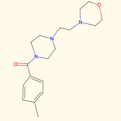 Cc1ccc(C(=O)N2CCN(CCN3CCOCC3)CC2)cc1